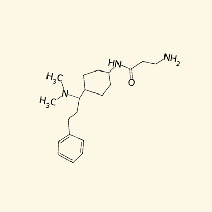 CN(C)C(CCc1ccccc1)C1CCC(NC(=O)CCN)CC1